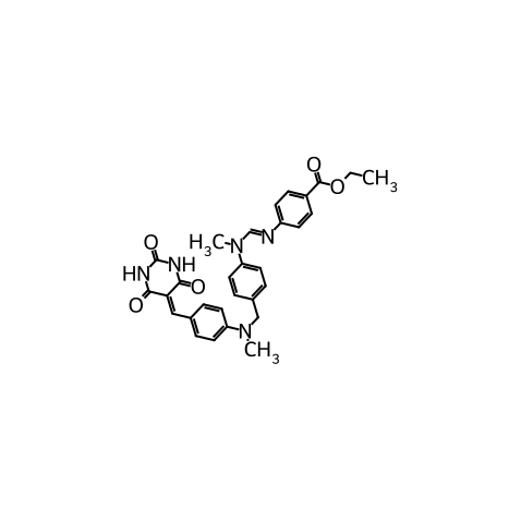 CCOC(=O)c1ccc(N=CN(C)c2ccc(CN(C)c3ccc(C=C4C(=O)NC(=O)NC4=O)cc3)cc2)cc1